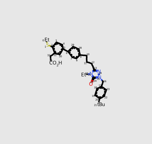 CCSc1ccc(-c2ccc(CCCc3nn(Cc4ccc(C(C)(C)C)cc4)c(=O)n3CC)cc2)cc1CC(=O)O